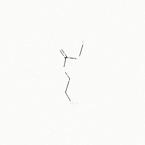 CCCCCCOC(=O)[O][Pu]